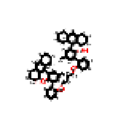 Cc1cc(-c2ccccc2OCCCCOc2ccccc2-c2cc(C)cc(-c3c4c(cc5c3CCCC5)CCCC4)c2O)c(O)c(-c2c3c(cc4c2CCCC4)CCCC3)c1